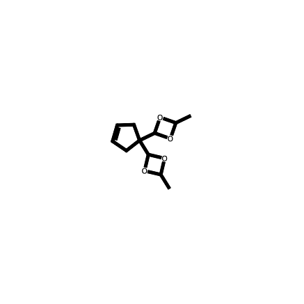 CC1OC(C2(C3OC(C)O3)CC=CC2)O1